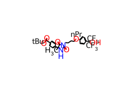 CCCc1cc(C(O)(C(F)(F)F)C(F)(F)F)ccc1OCCCCN1C(=O)NC(C)(c2ccc(C(=O)OC(C)(C)C)cc2)C1=O